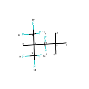 CC(C)(C)C(F)(F)C(C)(C(F)(F)F)C(F)(F)F